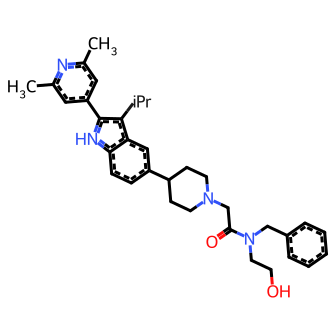 Cc1cc(-c2[nH]c3ccc(C4CCN(CC(=O)N(CCO)Cc5ccccc5)CC4)cc3c2C(C)C)cc(C)n1